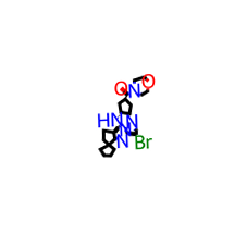 O=C([C@H]1CC[C@H](Nc2c3c(nc4c(Br)cnn24)C2(CCCC2)CC3)C1)N1CCOCC1